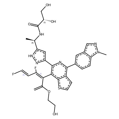 C=C(OCCO)/C(=C(F)\C=C\F)c1c(-c2cc([C@@H](C)NC(=O)[C@@H](O)CO)[nH]n2)nc(-c2ccc3c(cnn3C)c2)c2ccsc12